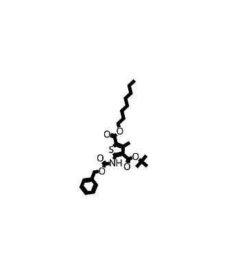 CCCCCCCCOC(=O)c1sc(NC(=O)OCc2ccccc2)c(C(=O)OC(C)(C)C)c1C